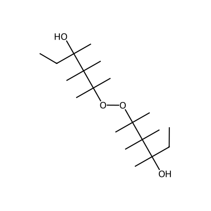 CCC(C)(O)C(C)(C)C(C)(C)OOC(C)(C)C(C)(C)C(C)(O)CC